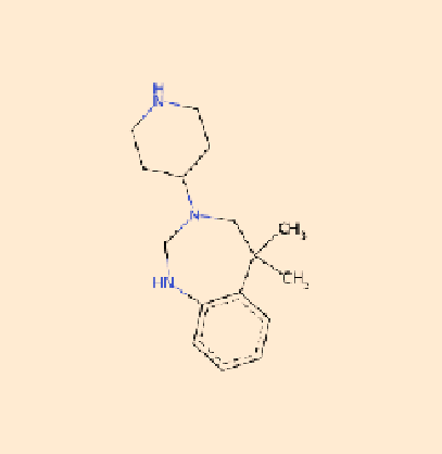 CC1(C)CN(C2CCNCC2)CNc2ccccc21